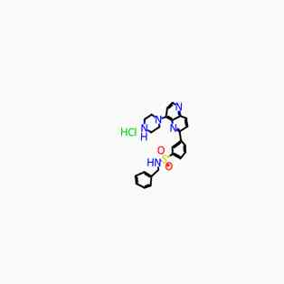 Cl.O=S(=O)(NCc1ccccc1)c1cccc(-c2ccc3nccc(N4CCNCC4)c3n2)c1